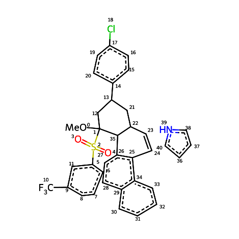 COC1(S(=O)(=O)c2cccc(C(F)(F)F)c2)CC(c2ccc(Cl)cc2)CC2C=Cc3c(ccc4ccccc34)C21.c1cc[nH]c1